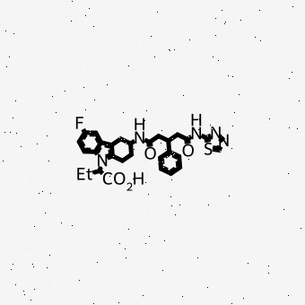 CCC(C(=O)O)n1c2c(c3cc(F)ccc31)CC(NC(=O)CC(CC(=O)Nc1nncs1)c1ccccc1)CC2